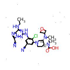 CCNc1nc(Nc2cc(C#N)cc(N3CC[C@@H](N(C)C(=O)O)[C@@H](N(C)C4COC4)C3)c2Cl)nn2c(C#N)cnc12